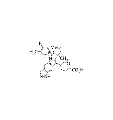 COCC(C)(C)c1c([C@@H]2CCC(C(=O)O)OC2)c2cc3[nH]ncc3cc2n1-c1ccc(F)c(C)c1